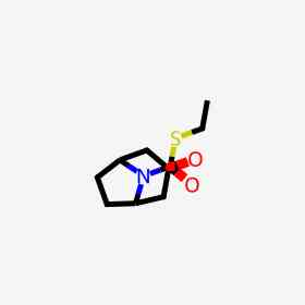 CCSC(=O)N1C2CCC1CC(=O)C2